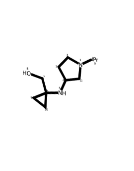 CC(C)N1CCC(NC2(CO)CC2)C1